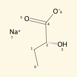 CC[C@@H](O)C(=O)[O-].[Na+]